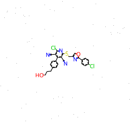 N#Cc1c(Cl)nc(SCc2coc(-c3ccc(Cl)cc3)n2)c(C#N)c1-c1ccc(CCCO)cc1